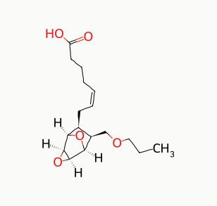 CCCOC[C@@H]1[C@H](C/C=C\CCCC(=O)O)[C@H]2O[C@@H]1[C@H]1O[C@H]12